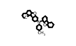 Cc1ccc(N(c2ccc3c(c2)oc2ccc4ccccc4c23)c2cccc3c2oc2ccccc23)cc1